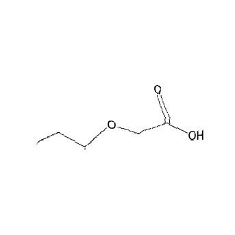 CC[CH]OCC(=O)O